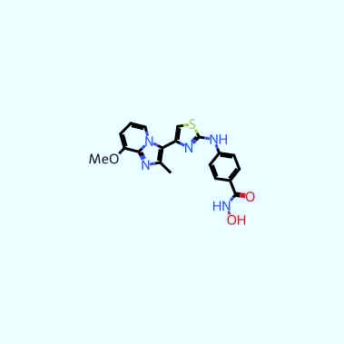 COc1cccn2c(-c3csc(Nc4ccc(C(=O)NO)cc4)n3)c(C)nc12